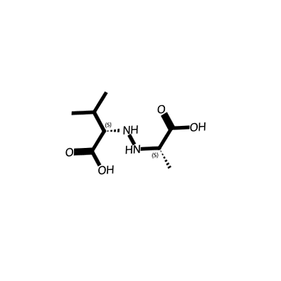 CC(C)[C@H](NN[C@@H](C)C(=O)O)C(=O)O